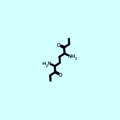 CCC(=O)C(N)CCC(N)C(=O)CC